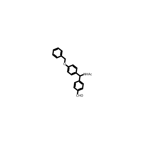 CC(=O)NC(c1ccc(C=O)cc1)c1ccc(OCc2ccccc2)cc1